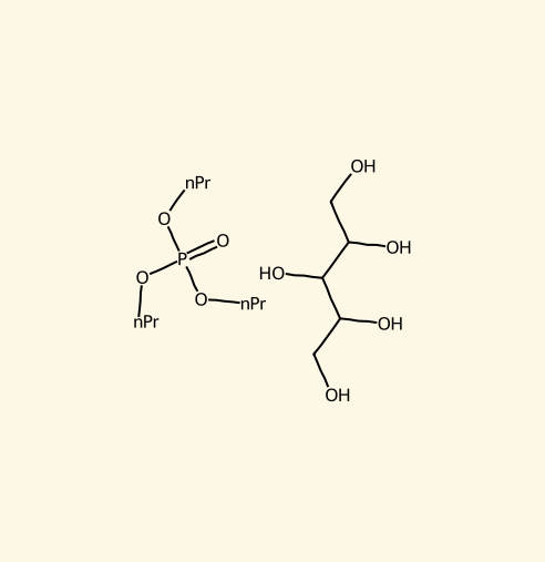 CCCOP(=O)(OCCC)OCCC.OCC(O)C(O)C(O)CO